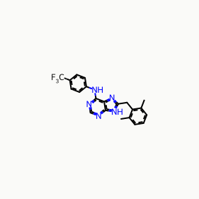 Cc1cccc(C)c1Cc1nc2c(Nc3ccc(C(F)(F)F)cc3)ncnc2[nH]1